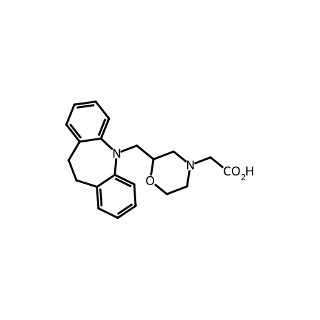 O=C(O)CN1CCOC(CN2c3ccccc3CCc3ccccc32)C1